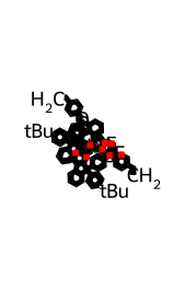 C=CC1=CC=C(OC2C=CC(C3(c4ccc(C(C)(C)C)cc4)c4cc(N(C5=CCCC6OC7C=CC=C(N(c8ccc(F)cc8)c8ccc9c(c8)C(c8ccc(C(C)(C)C)cc8)(C8C=CC(Oc%10ccc(C=C)cc%10)=CC8)C8=C9C=CCC8)C7C56)c5ccc(F)cc5)ccc4C4C=CC=CC43)=CC2)CC1